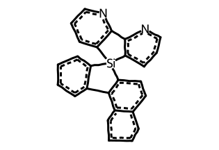 c1ccc2c(c1)-c1c(ccc3ccccc13)[Si]21c2cccnc2-c2ncccc21